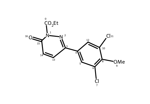 CCOC(=O)n1nc(-c2cc(Cl)c(OC)c(Cl)c2)ccc1=O